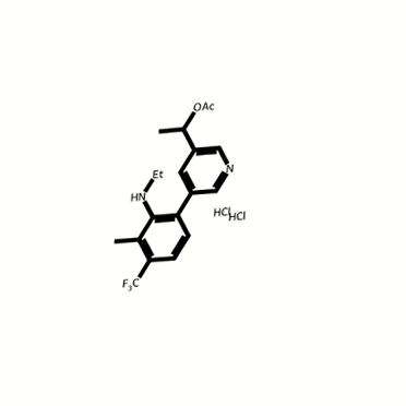 CCNc1c(-c2cncc(C(C)OC(C)=O)c2)ccc(C(F)(F)F)c1C.Cl.Cl